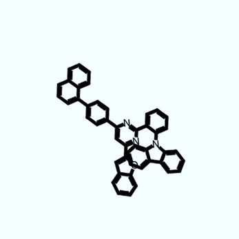 c1ccc(-n2c3ccccc3c3ccccc32)c(-c2nc(-c3ccc(-c4cccc5ccccc45)cc3)cc(-c3cc4ccccc4o3)n2)c1